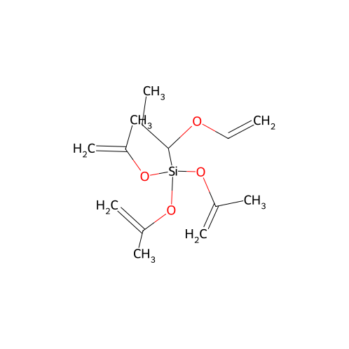 C=COC(CC)[Si](OC(=C)C)(OC(=C)C)OC(=C)C